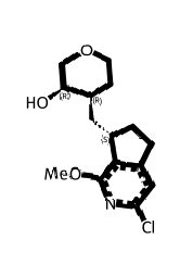 COc1nc(Cl)cc2c1[C@H](C[C@@H]1CCOC[C@@H]1O)CC2